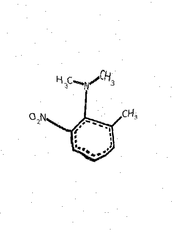 Cc1cccc([N+](=O)[O-])c1N(C)C